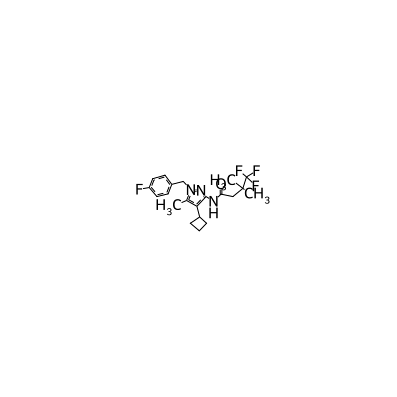 Cc1c(C2CCC2)c(NC(=O)CC(C)(C)C(F)(F)F)nn1Cc1ccc(F)cc1